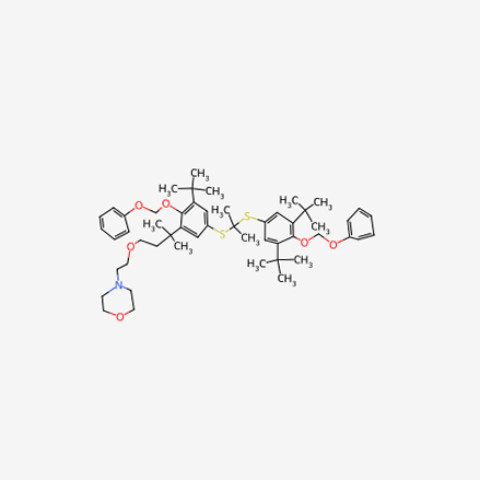 CC(C)(Sc1cc(C(C)(C)C)c(OCOc2ccccc2)c(C(C)(C)C)c1)Sc1cc(C(C)(C)C)c(OCOc2ccccc2)c(C(C)(C)CCOCCN2CCOCC2)c1